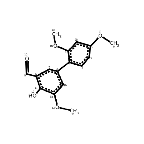 COc1ccc(-c2cc(C=O)c(O)c(OC)c2)c(OC)c1